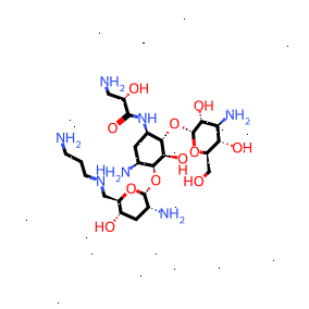 NCCCNC[C@H]1O[C@H](O[C@H]2[C@H](O)[C@@H](O[C@H]3O[C@H](CO)[C@@H](O)[C@H](N)[C@H]3O)[C@H](NC(=O)[C@@H](O)CN)C[C@@H]2N)[C@H](N)C[C@@H]1O